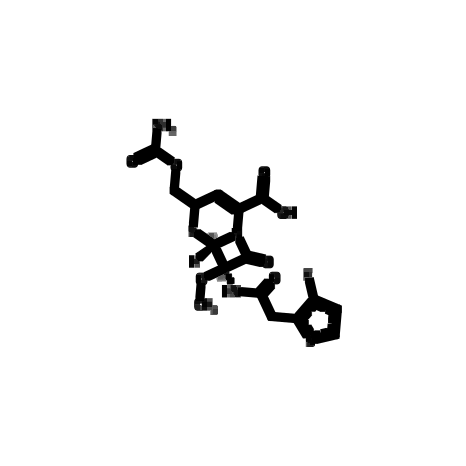 CO[C@]1(NC(=O)Cc2sccc2F)C(=O)N2C(C(=O)O)=CC(COC(N)=O)S[C@H]21